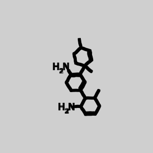 CC1C=CC(C)(C2=C(N)CCC(C3C(N)C=CCC3C)=C2)CC1